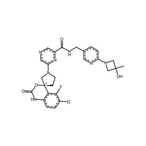 CC1(O)CN(c2ccc(CNC(=O)c3cncc(N4CC[C@]5(C4)OC(=O)Nc4ccc(Cl)c(F)c45)n3)cn2)C1